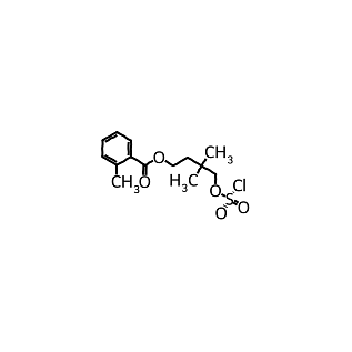 Cc1ccccc1C(=O)OCCC(C)(C)COS(=O)(=O)Cl